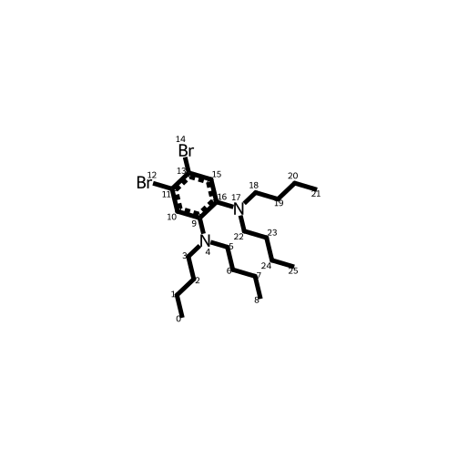 CCCCN(CCCC)c1cc(Br)c(Br)cc1N(CCCC)CCCC